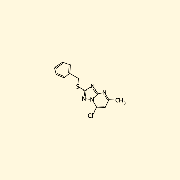 Cc1cc(Cl)n2nc(SCc3ccccc3)nc2n1